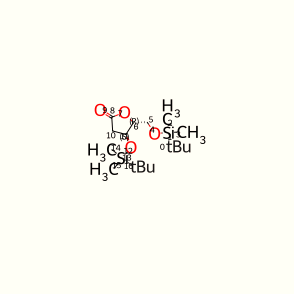 CC(C)(C)[Si](C)(C)OC[C@H]1OC(=O)C[C@@H]1O[Si](C)(C)C(C)(C)C